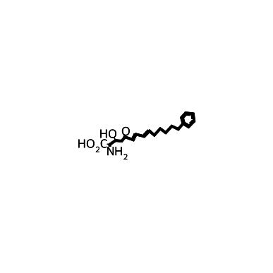 N[C@H](C(=O)O)[C@H](O)CC(=O)/C=C/C=C/CCCCCc1ccccc1